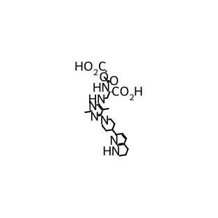 Cc1nc(NC[C@H](NC(=O)OCC(=O)O)C(=O)O)c(C)c(N2CCC(c3ccc4c(n3)NCCC4)CC2)n1